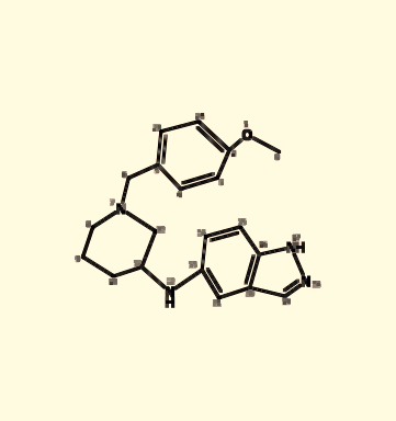 COc1ccc(CN2CCCC(Nc3ccc4[nH]ncc4c3)C2)cc1